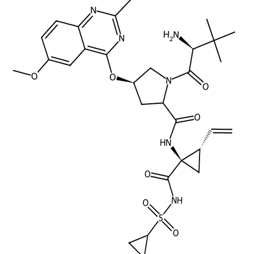 C=C[C@@H]1C[C@]1(NC(=O)C1C[C@@H](Oc2nc(C)nc3ccc(OC)cc23)CN1C(=O)[C@@H](N)C(C)(C)C)C(=O)NS(=O)(=O)C1CC1